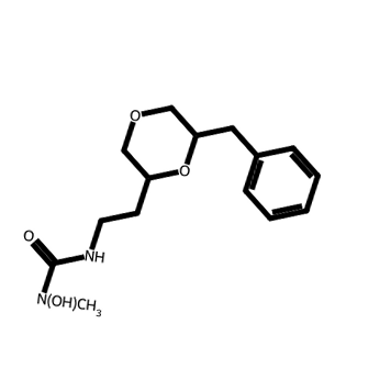 CN(O)C(=O)NCCC1COCC(Cc2ccccc2)O1